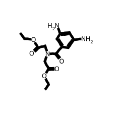 CCOC(=O)CN(CC(=O)OCC)C(=O)c1cc(N)cc(N)c1